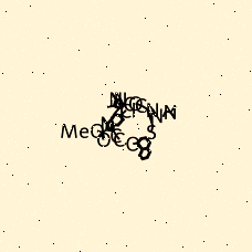 COC(=O)c1c2c3ccc(Cl)c(c3n1C)-c1c(nn(C)c1C)COCc1cc(n(CCN(C)C)n1)CSc1cc(c3ccccc3c1)OCCC2